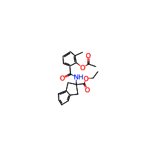 CCOC(=O)C1(NC(=O)c2cccc(C)c2OC(C)=O)Cc2ccccc2C1